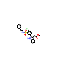 COC(=O)Cc1c(-c2ccc(Cl)c(S(=O)(=O)NCCc3ccccc3)c2)[nH]c2ccccc12